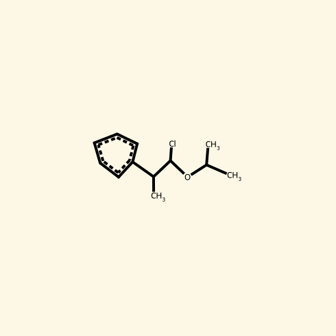 CC(C)OC(Cl)C(C)c1ccccc1